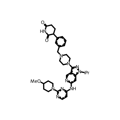 COC1CCN(c2nccc(Nc3cc4c(cn3)c(N3CCN(Cc5cccc(C6CCC(=O)NC6=O)c5)CC3)nn4C(C)C)n2)CC1